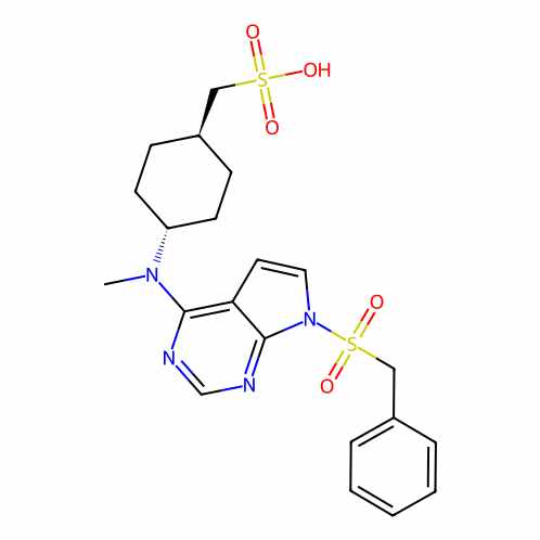 CN(c1ncnc2c1ccn2S(=O)(=O)Cc1ccccc1)[C@H]1CC[C@H](CS(=O)(=O)O)CC1